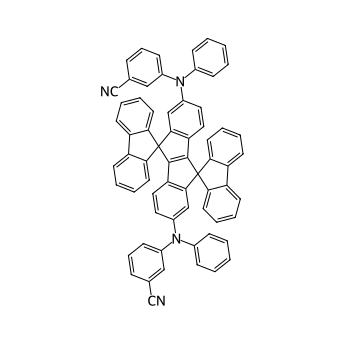 N#Cc1cccc(N(c2ccccc2)c2ccc3c(c2)C2(C4=C3C3(c5cc(N(c6ccccc6)c6cccc(C#N)c6)ccc54)c4ccccc4-c4ccccc43)c3ccccc3-c3ccccc32)c1